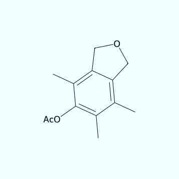 CC(=O)Oc1c(C)c(C)c2c(c1C)COC2